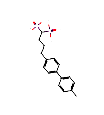 Cc1ccc(-c2ccc(CCCC(P(=O)(O)O)P(=O)(O)O)cc2)cc1